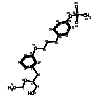 CCOC(CO)Cc1cccc(OCCCc2ccc(OS(C)(=O)=O)cc2)c1